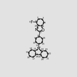 Fc1cccc2oc(-c3ccc(-n4c5ccccc5c5ccccc54)cc3)nc12